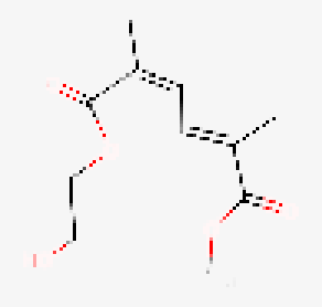 CCCCOC(=O)C(C)=CC=C(C)C(=O)OCCO